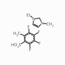 CCN1C=CN(C)C1.Cc1c(F)c(F)c(F)c(F)c1S(=O)(=O)O